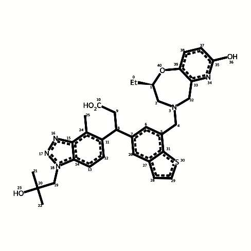 CC[C@@H]1CN(Cc2cc(C(CC(=O)O)c3ccc4c(nnn4CC(C)(C)O)c3C)cc3ccsc23)Cc2nc(O)ccc2O1